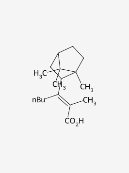 CCCCC(=C(C)C(=O)O)C1CC2CCC1(C)C2(C)C